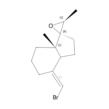 C[C@@H]1O[C@@]12CCC1/C(=C/Br)CCC[C@@]12C